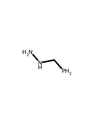 NNCP